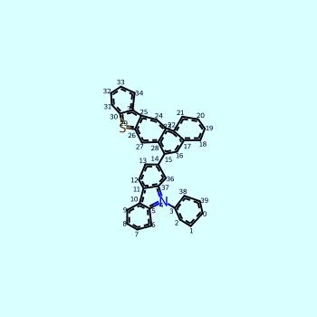 c1ccc(-n2c3ccccc3c3ccc(-c4cc5ccccc5c5cc6c(cc45)sc4ccccc46)cc32)cc1